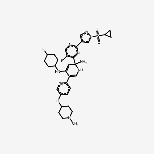 CN1CCC(Oc2ccc(C3=CNC(N)(c4nc(-c5cnn(S(=O)(=O)C6CC6)c5)ncc4F)C=C3NC3CCC(F)CC3)nc2)CC1